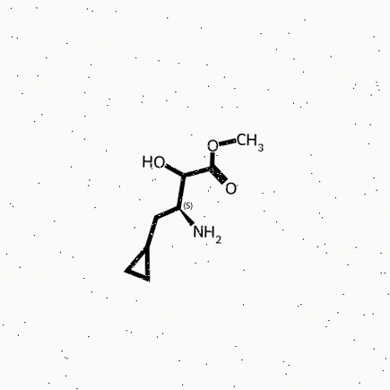 COC(=O)C(O)[C@@H](N)CC1CC1